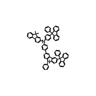 CC1(C)c2ccccc2-c2ccc(N(c3ccc(-c4ccc5c(c4)c4cc(C6(c7ccccc7)c7ccccc7-c7ccccc76)ccc4n5-c4ccccc4)cc3)c3ccc(C4(c5ccccc5)c5ccccc5-c5ccccc54)cc3)cc21